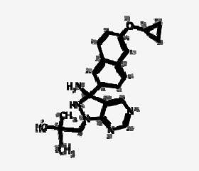 CC(C)(O)CN1NC(N)(c2ccc3cc(OC4CC4)ccc3c2)c2cncnc21